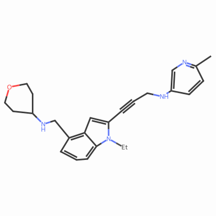 CCn1c(C#CCNc2ccc(C)nc2)cc2c(CNC3CCOCC3)cccc21